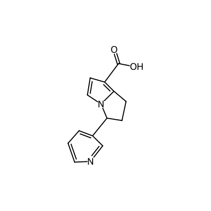 O=C(O)c1ccn2c1CCC2c1cccnc1